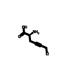 N[C@@H](CC#CCCl)C(=O)O